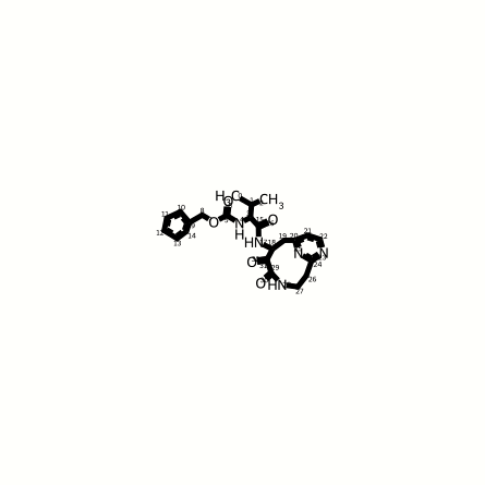 CC(C)C(NC(=O)OCc1ccccc1)C(=O)NC1Cc2ccnc(n2)CCNC(=O)C1=O